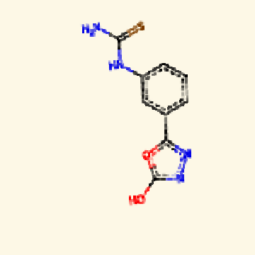 NC(=S)Nc1cccc(-c2nnc(O)o2)c1